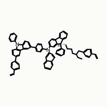 C=Cc1ccc(CC(CC)CCCC[C@@]2(c3ccccc3)c3ccccc3-c3ccc(N(c4ccc(-c5ccc6c(c5)c5cc(-c7ccc(C=C)cc7)ccc5n6-c5ccccc5)cc4)c4ccc5ccccc5c4)cc32)cc1